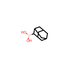 OB(O)C1C2CC3CC(C2)CC1C3